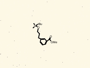 COC(=O)c1cccc(CCCO[Si](C)(C)C(C)(C)C)c1